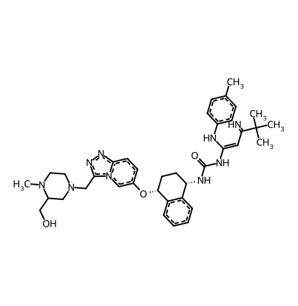 Cc1ccc(N/C(=C\C(=N)C(C)(C)C)NC(=O)N[C@H]2CC[C@@H](Oc3ccc4nnc(CN5CCN(C)C(CO)C5)n4c3)c3ccccc32)cc1